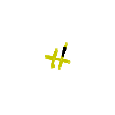 S=BS(=S)(=S)S(=S)(=S)S